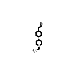 CC[SiH]1CCC([C@H]2CC[C@H](CCBr)CC2)CC1